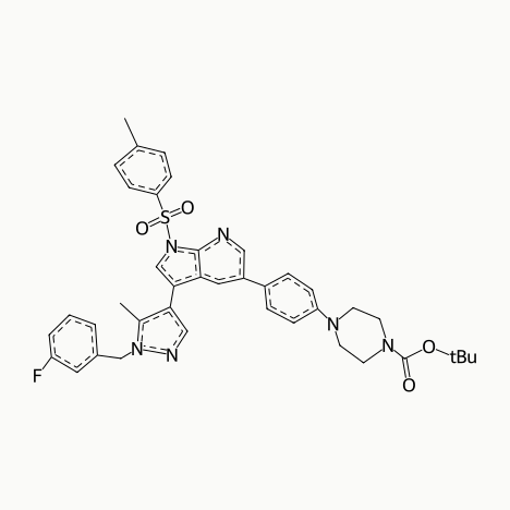 Cc1ccc(S(=O)(=O)n2cc(-c3cnn(Cc4cccc(F)c4)c3C)c3cc(-c4ccc(N5CCN(C(=O)OC(C)(C)C)CC5)cc4)cnc32)cc1